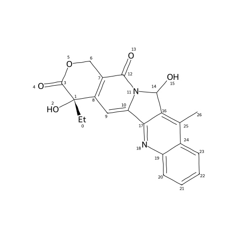 CC[C@@]1(O)C(=O)OCc2c1cc1n(c2=O)C(O)c2c-1nc1ccccc1c2C